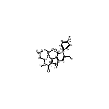 CCc1cc2c(c(OC(C)C)c(C(=O)N(C)CCN(C)C)n2C)c(=O)n1-c1ccc(F)cc1